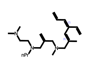 C=C/C=C(C=C)\C=C(/C)CN(C)CC(=C)CN(CCC)CCN(C)C